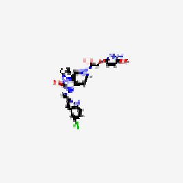 CN(C(=O)NCc1cc2cc(Cl)ccc2[nH]1)C1CCCN(C(=O)COc2ccc(=O)[nH]n2)C1